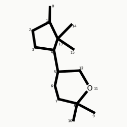 CC1CCC(C2CCC(C)(C)OC2)C1(C)C